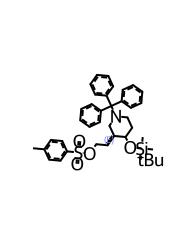 Cc1ccc(S(=O)(=O)OC/C=C2\CN(C(c3ccccc3)(c3ccccc3)c3ccccc3)CCC2O[Si](C)(C)C(C)(C)C)cc1